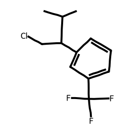 CC(C)C(CCl)c1cccc(C(F)(F)F)c1